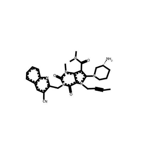 CC#CCn1c(N2CCC[C@@H](N)C2)c(C(=O)N(C)C)c2c1c(=O)n(Cc1nc3ccccc3cc1C#N)c(=O)n2C